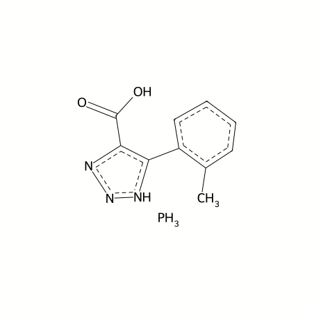 Cc1ccccc1-c1[nH]nnc1C(=O)O.P